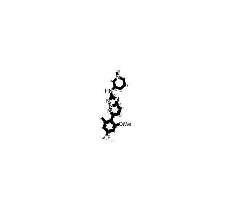 COc1cc(C(F)(F)F)cc(C)c1-c1ccc2nc(NC3CCCN(C)C3)nn2n1